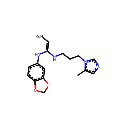 Cc1cncn1CCCN/C(=C/[N+](=O)[O-])Nc1ccc2c(c1)OCO2